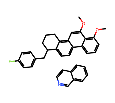 COc1cccc2c1c(OC)cc1c3c(ccc12)C(Cc1ccc(F)cc1)CCC3.c1ccc2cnccc2c1